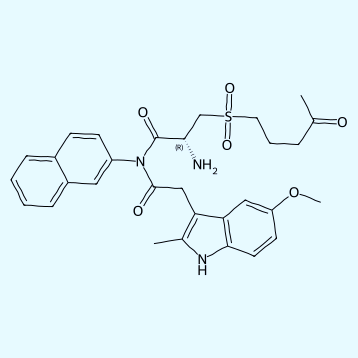 COc1ccc2[nH]c(C)c(CC(=O)N(C(=O)[C@@H](N)CS(=O)(=O)CCCC(C)=O)c3ccc4ccccc4c3)c2c1